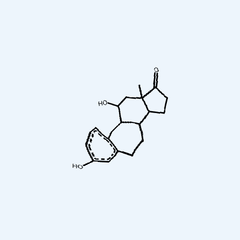 CC12CC(O)C3c4ccc(O)cc4CCC3C1CCC2=O